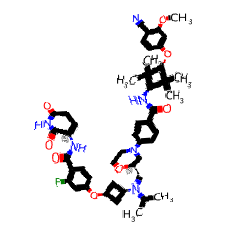 COc1cc(O[C@H]2C(C)(C)[C@H](NC(=O)c3ccc(N4CCO[C@@H](CN(C(C)C)[C@H]5C[C@H](Oc6ccc(C(=O)N[C@H]7CCC(=O)NC7=O)c(F)c6)C5)C4)cc3)C2(C)C)ccc1C#N